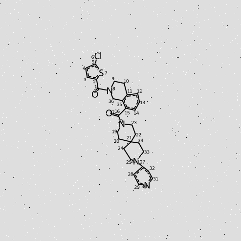 O=C(c1ccc(Cl)s1)N1CCc2cccc(C(=O)N3CCC4(CC3)CCN(c3ccncc3)CC4)c2C1